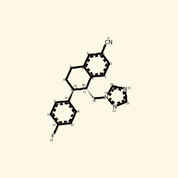 N#Cc1ccc2c(c1)CC[C@H](c1ccc(F)cc1)[C@H]2Cn1cncn1